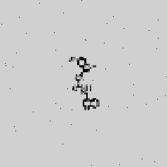 O=C(NN=Cc1ccnc2ccccc12)c1csc(-c2c[nH]c3ccc(Br)cc23)n1